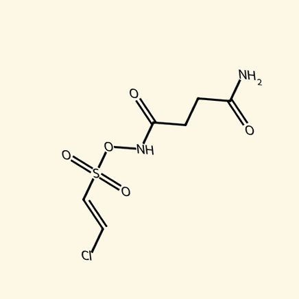 NC(=O)CCC(=O)NOS(=O)(=O)C=CCl